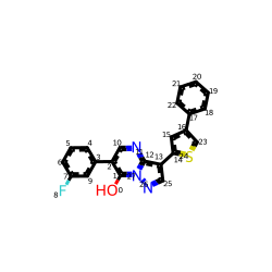 Oc1c(-c2cccc(F)c2)cnc2c(-c3cc(-c4ccccc4)cs3)cnn12